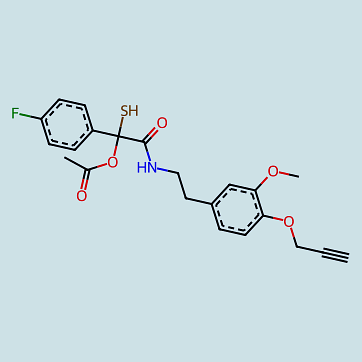 C#CCOc1ccc(CCNC(=O)C(S)(OC(C)=O)c2ccc(F)cc2)cc1OC